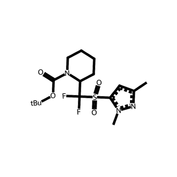 Cc1cc(S(=O)(=O)C(F)(F)C2CCCCN2C(=O)OC(C)(C)C)n(C)n1